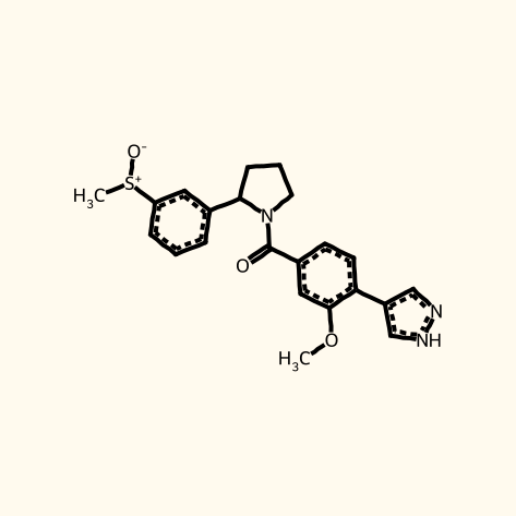 COc1cc(C(=O)N2CCCC2c2cccc([S+](C)[O-])c2)ccc1-c1cn[nH]c1